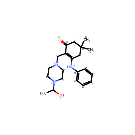 CC(O)N1CCN(CC2=C(Nc3ccccc3)CC(C)(C)CC2=O)CC1